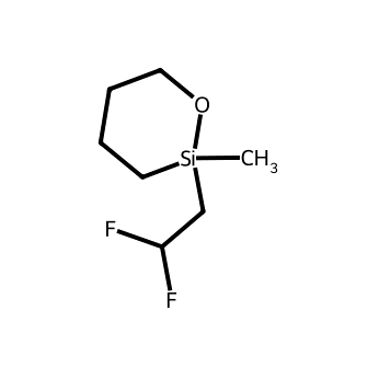 C[Si]1(CC(F)F)CCCCO1